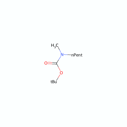 C[CH]CCCN(C)C(=O)OC(C)(C)C